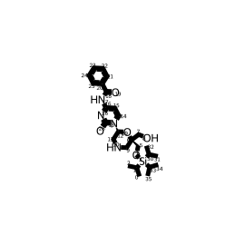 CC(C)[Si](OC[C@@]1(CO)CNC[C@H](n2ccc(NC(=O)c3ccccc3)nc2=O)O1)(C(C)C)C(C)C